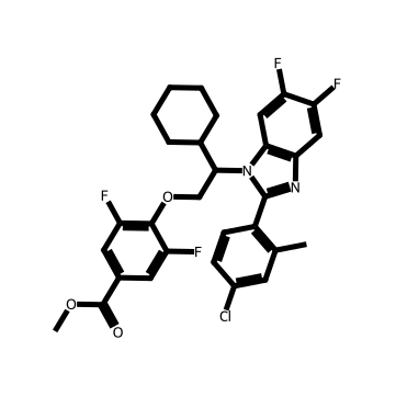 COC(=O)c1cc(F)c(OCC(C2CCCCC2)n2c(-c3ccc(Cl)cc3C)nc3cc(F)c(F)cc32)c(F)c1